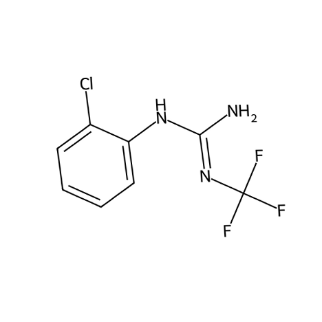 NC(=NC(F)(F)F)Nc1ccccc1Cl